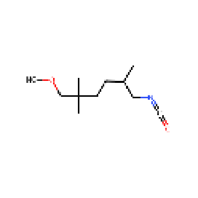 CC(CCC(C)(C)COC#N)CN=C=O